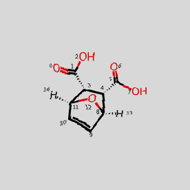 O=C(O)[C@@H]1[C@H](C(=O)O)[C@H]2C=C[C@@H]1O2